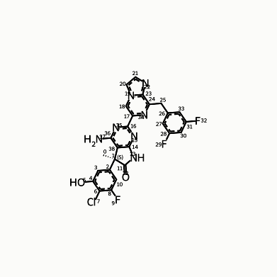 C[C@@]1(c2cc(O)c(Cl)c(F)c2)C(=O)Nc2nc(-c3cn4ccnc4c(Cc4cc(F)cc(F)c4)n3)nc(N)c21